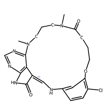 CN1CCCN(C)c2ncnc3c2/C(=C/Nc2ccc(Cl)c(c2)OCCCC1=O)C(=O)N3